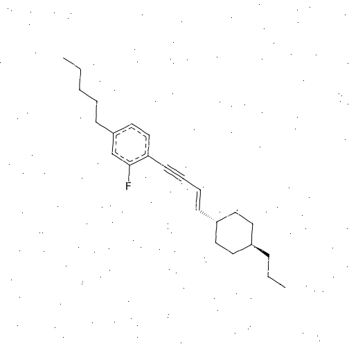 CCCCCc1ccc(C#CC=C[C@H]2CC[C@H](CCC)CC2)c(F)c1